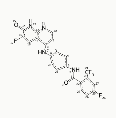 O=C(Nc1ccc(Nc2ccnc3[nH]c(=O)c(F)cc23)cc1)c1ccc(F)cc1C(F)(F)F